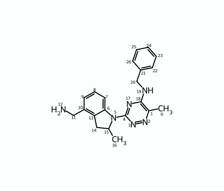 Cc1nnc(N2c3cccc(CN)c3CC2C)nc1NCc1ccccc1